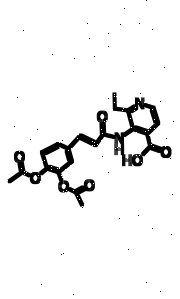 CCc1nccc(C(=O)O)c1NC(=O)/C=C/c1ccc(OC(C)=O)c(OC(C)=O)c1